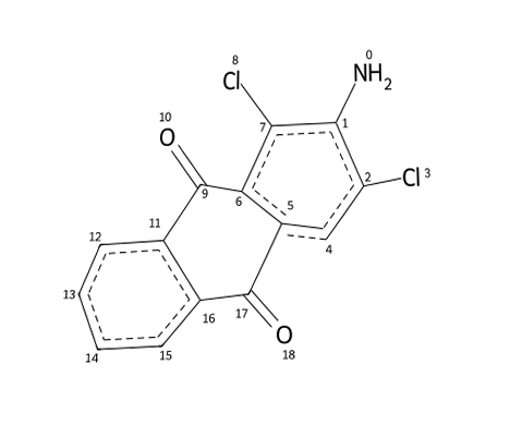 Nc1c(Cl)cc2c(c1Cl)C(=O)c1ccccc1C2=O